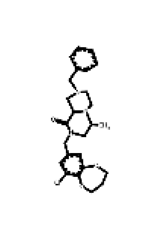 CC1CN(Cc2cc(Cl)c3c(c2)OCCCO3)C(=O)C2CN(Cc3ccccc3)CCN12